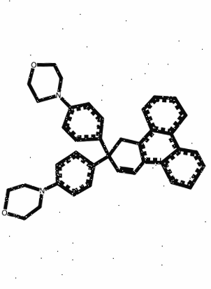 C1=CC(c2ccc(N3CCOCC3)cc2)(c2ccc(N3CCOCC3)cc2)Cc2c1c1ccccc1c1ccccc21